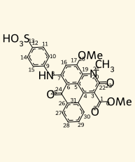 COC(=O)c1c2c3c(c(Nc4ccc(S(=O)(=O)O)cc4)cc(OC)c3n(C)c1=O)C(=O)c1ccccc1-2